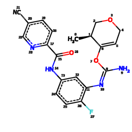 C[C@H]1COCC=C1O/C(N)=N\c1cc(NC(=O)c2ccc(C#N)cn2)ccc1F